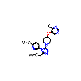 COCc1nnc(N2CCC(Oc3cncnc3C)CC2)n1-c1ccc(OC)nc1